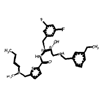 CCCCN(C)Cc1ccc(C(=O)N[C@@H](Cc2cc(F)cc(F)c2)[C@H](O)CNCc2cccc(CC)c2)s1